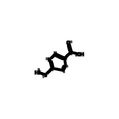 O=C(O)c1ccc(SS)nc1